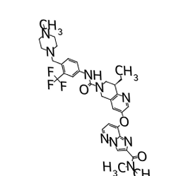 CC[C@@H]1CN(C(=O)Nc2ccc(CN3CCN(C)CC3)c(C(F)(F)F)c2)Cc2cc(Oc3ccnn4cc(C(=O)N(C)C)nc34)cnc21